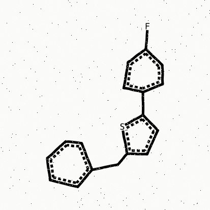 Fc1ccc(-c2ccc(Cc3ccccc3)s2)cc1